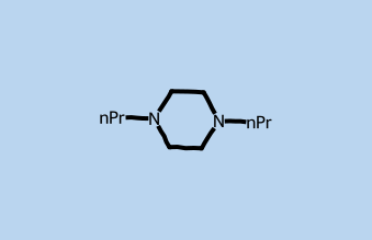 [CH2]CCN1CCN(CCC)CC1